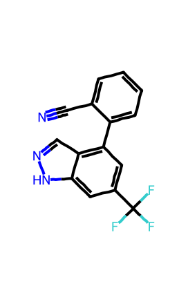 N#Cc1ccccc1-c1cc(C(F)(F)F)cc2[nH]ncc12